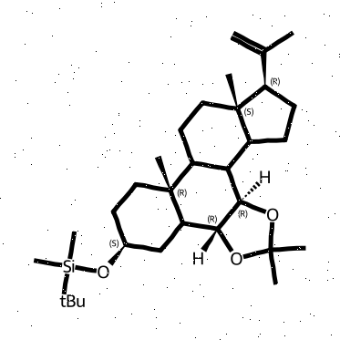 C=C(C)[C@H]1CCC2C3C(CC[C@@]21C)[C@@]1(C)CC[C@H](O[Si](C)(C)C(C)(C)C)CC1[C@H]1OC(C)(C)O[C@H]31